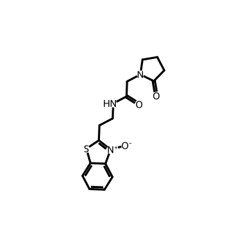 O=C(CN1CCCC1=O)NCCc1sc2ccccc2[n+]1[O-]